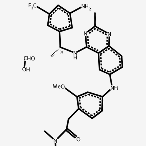 COc1cc(Nc2ccc3nc(C)nc(N[C@H](C)c4cc(N)cc(C(F)(F)F)c4)c3c2)ccc1CC(=O)N(C)C.O=CO